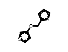 [c]1sccc1OCc1cccs1